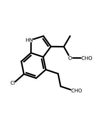 CC(OC=O)c1c[nH]c2cc(Cl)cc(CCC=O)c12